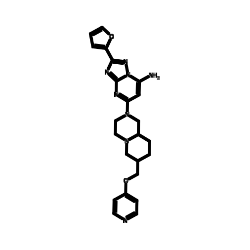 Nc1cc(N2CCN3CC(COc4ccncc4)CCC3C2)nc2nc(-c3ccco3)nn12